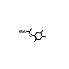 CC1=C(OC(C)OCC(C)C)CC(C)C(C)C1